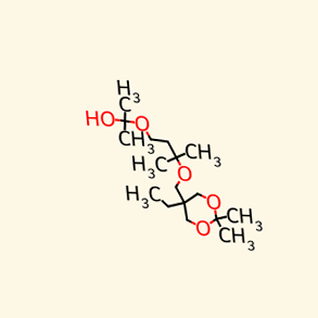 CCC1(COC(C)(C)CCOC(C)(C)O)COC(C)(C)OC1